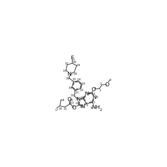 COCCOc1nc(N)c2nc(OC(=O)CC(C)C)n(Cc3cccc(CN4CCC(F)CC4)c3)c2n1